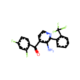 Nc1c(C(=O)c2ccc(F)cc2F)ccnc1-c1ccccc1C(F)(F)F